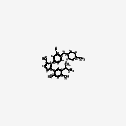 CC(C)c1cc(-c2nnc(O)n2-c2ccc(CN3CCN(C)CC3)c(F)c2)c(O)cc1O